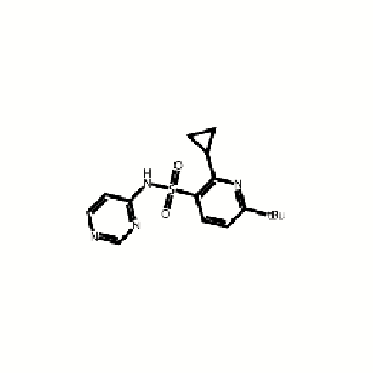 CC(C)(C)c1ccc(S(=O)(=O)Nc2ccncn2)c(C2CC2)n1